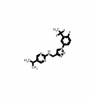 CC(C)c1cnc(NCc2cn(-c3ccc(F)c(C(C)(F)F)c3)nn2)nc1